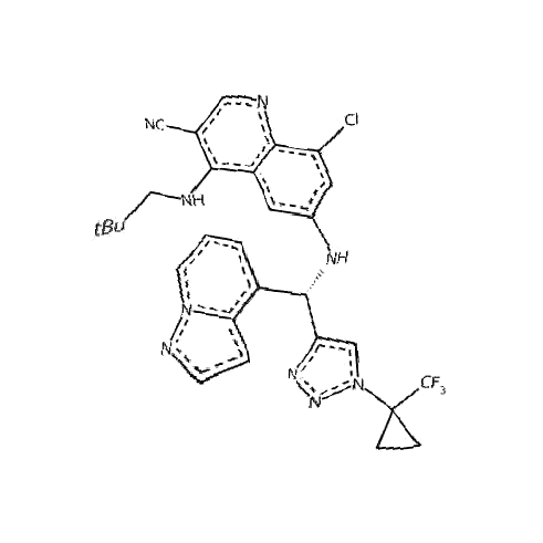 CC(C)(C)CNc1c(C#N)cnc2c(Cl)cc(N[C@H](c3cn(C4(C(F)(F)F)CC4)nn3)c3cccn4nccc34)cc12